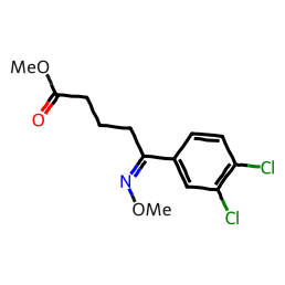 CO/N=C(/CCCC(=O)OC)c1ccc(Cl)c(Cl)c1